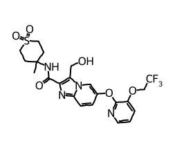 CC1(NC(=O)c2nc3ccc(Oc4ncccc4OCC(F)(F)F)cn3c2CO)CCS(=O)(=O)CC1